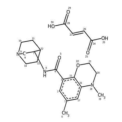 Cc1cc(C(=O)NC2CN3CCC2CC3)c2c(c1)N(C)CCO2.O=C(O)C=CC(=O)O